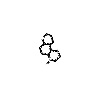 O=[n+]1ccnc2c3cccoc3ccc21